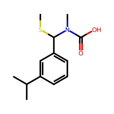 CSC(c1cccc(C(C)C)c1)N(C)C(=O)O